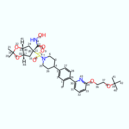 Cc1cc(C2CCN(S(=O)(=O)[C@]3(C(=O)NO)C[C@@H]4OC(C)(C)O[C@@H]4C3)CC2)ccc1-c1cccc(OCCOC(C)(C)C)n1